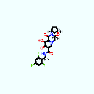 C[C@@H](NC(=O)c1cn2c(c(O)c1=O)C(=O)N1[C@@H]3CC[C@H](C3)O[C@@H]1C2)c1c(F)cc(F)cc1F